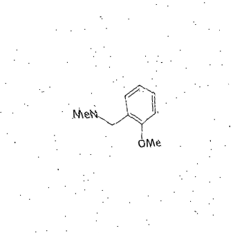 CNCc1ccc[c]c1OC